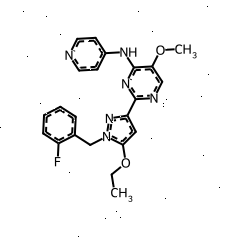 CCOc1cc(-c2ncc(OC)c(Nc3ccncc3)n2)nn1Cc1ccccc1F